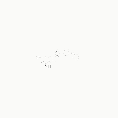 COc1cc(-c2noc(-c3ccc(Oc4ccccc4)cc3)n2)ccc1C(N)=O